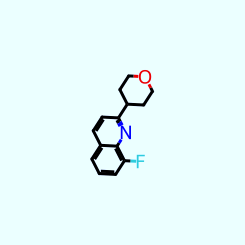 Fc1cccc2ccc(C3CCOCC3)nc12